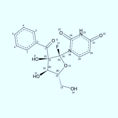 O=C(c1ccccc1)[C@@]1(O)[C@H](O)[C@@H](CO)O[C@@]1(F)n1ccc(=O)[nH]c1=O